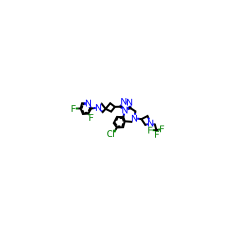 Fc1cnc(N2CC3(CC(c4nnc5n4-c4ccc(Cl)cc4CN(C4CN(CC(F)(F)F)C4)C5)C3)C2)c(F)c1